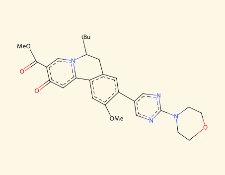 COC(=O)c1cn2c(cc1=O)-c1cc(OC)c(-c3cnc(N4CCOCC4)nc3)cc1CC2C(C)(C)C